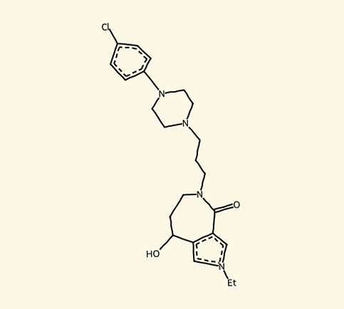 CCn1cc2c(c1)C(O)CCN(CCCN1CCN(c3ccc(Cl)cc3)CC1)C2=O